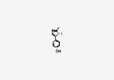 Cc1ncc(-c2ccc(O)cc2)[nH]1